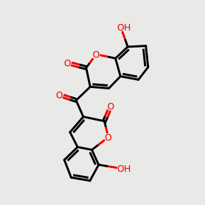 O=C(c1cc2cccc(O)c2oc1=O)c1cc2cccc(O)c2oc1=O